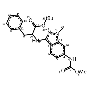 COC(=O)Nc1ccc2c(NC(Cc3ccccc3)C(=O)OC(C)(C)C)nn(C)c2c1